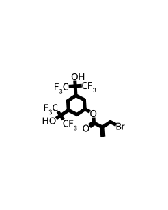 C=C(CBr)C(=O)OC1CC(C(O)(C(F)(F)F)C(F)(F)F)CC(C(O)(C(F)(F)F)C(F)(F)F)C1